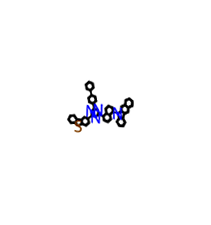 c1ccc(-c2ccc(-c3nc(-c4ccc5sc6ccccc6c5c4)nc(-c4cccc5c(-n6c7ccccc7c7cc8ccccc8cc76)cccc45)n3)cc2)cc1